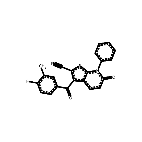 Cc1cc(C(=O)c2c(C#N)sc3c2ccc(=O)n3-c2ccccc2)ccc1F